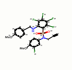 C#CCN(c1ccc(OC)c(F)c1)S(=O)(=O)c1c(F)c(F)c(F)c(F)c1NCc1ccc(OC)cc1